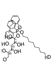 CCCCCCCCCCCCCCCCCCOP(Oc1ccccc1C)(OC(O)[C@H](O)[C@@H](O)[C@H](O)[C@H](O)CO)(c1ccccc1C)c1ccccc1C